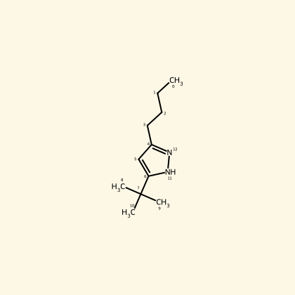 CCCCc1cc(C(C)(C)C)[nH]n1